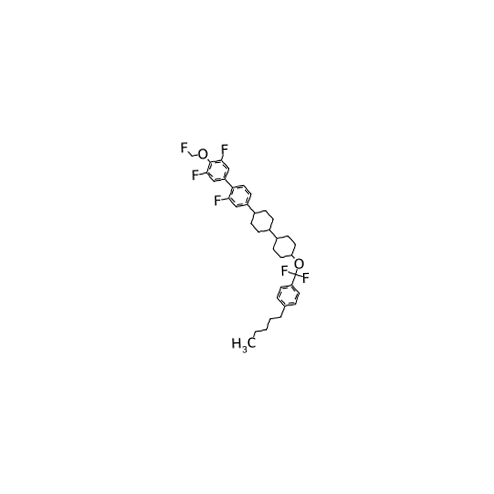 CCCCCc1ccc(C(F)(F)OC2CCC(C3CCC(c4ccc(-c5cc(F)c(OCF)c(F)c5)c(F)c4)CC3)CC2)cc1